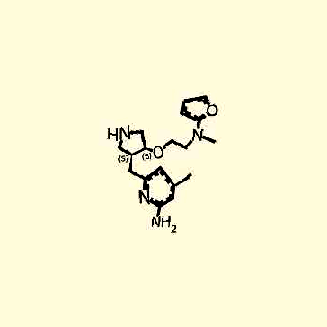 Cc1cc(N)nc(C[C@H]2CNC[C@H]2OCCN(C)c2ccco2)c1